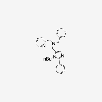 CCCCn1c(CN(Cc2ccccc2)Cc2ccccn2)cnc1-c1ccccc1